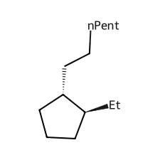 CCCCCCC[C@H]1CCC[C@@H]1CC